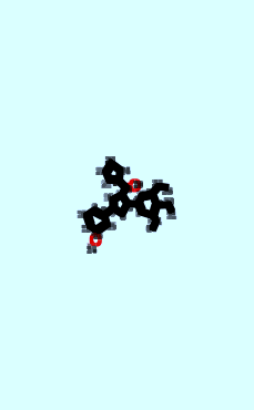 CCc1cc(C2CC(c3cccc(OC)c3)=CC2C(=O)C2=CC=CC2)cc(CC)c1CC